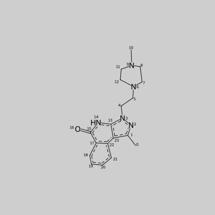 Cc1nn(CCN2CCN(C)CC2)c2[nH]c(=O)c3ccccc3c12